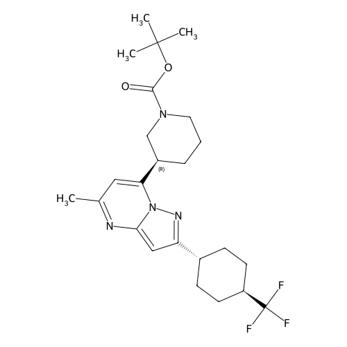 Cc1cc([C@@H]2CCCN(C(=O)OC(C)(C)C)C2)n2nc([C@H]3CC[C@H](C(F)(F)F)CC3)cc2n1